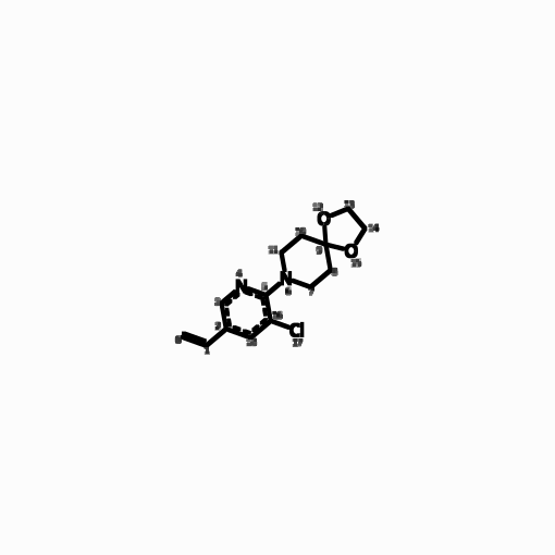 C=Cc1cnc(N2CCC3(CC2)OCCO3)c(Cl)c1